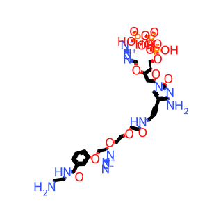 [N-]=[N+]=NCOC1C[C@H](n2cc(C#CCNC(=O)COCCOC(COc3cccc(C(=O)NCCN)c3)N=[N+]=[N-])c(N)nc2=O)O[C@@H]1COP(=O)(O)OP(=O)(O)OP(=O)(O)O